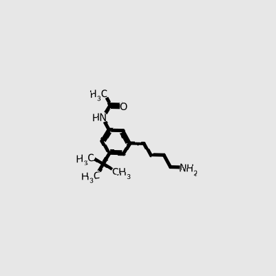 CC(=O)Nc1cc(CCCCN)cc(C(C)(C)C)c1